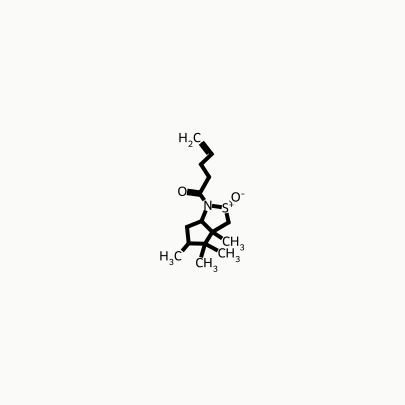 C=CCCC(=O)N1C2CC(C)C(C)(C)C2(C)C[S+]1[O-]